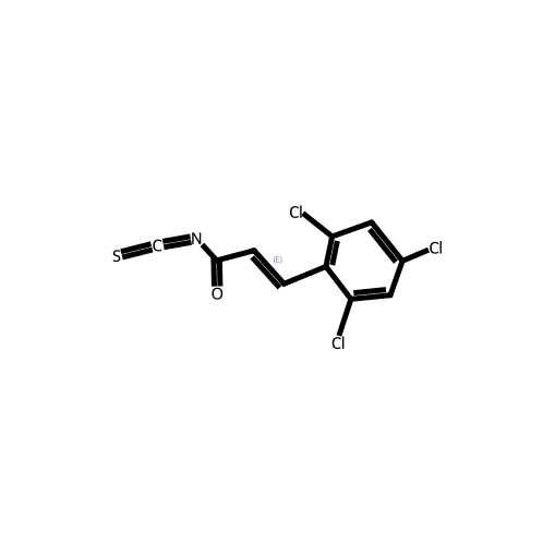 O=C(/C=C/c1c(Cl)cc(Cl)cc1Cl)N=C=S